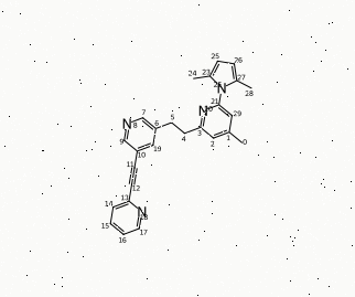 Cc1cc(CCc2cncc(C#Cc3ccccn3)c2)nc(-n2c(C)ccc2C)c1